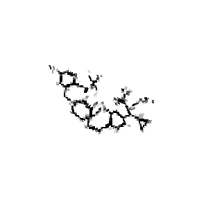 Cc1ccc(OC(F)(F)F)c(CN2CCC3(CCc4ccc(C(C5CC5)[C@H](C)C(=O)O)cc4O3)CC2)c1